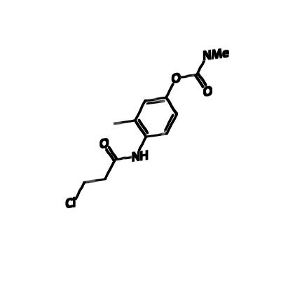 CNC(=O)Oc1ccc(NC(=O)CCCl)c(C)c1